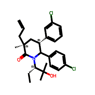 C=CC[C@@]1(C)C[C@H](c2cccc(Cl)c2)C(c2ccc(Cl)cc2)N([C@@H](CC)C(C)(C)O)C1=O